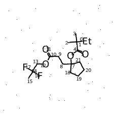 CCC(C)(C)C(=O)OC1(CCC(=O)OCC(C)(F)F)CCCC1